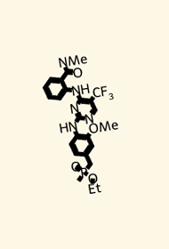 CCOP(C)(=O)Cc1ccc(Nc2ncc(C(F)(F)F)c(Nc3ccccc3C(=O)NC)n2)c(OC)c1